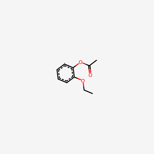 CCOc1ccc[c]c1OC(C)=O